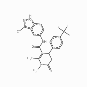 CC1=C(C(=O)Nc2ccc3[nH]nc(Cl)c3c2)C(c2ccc(C(F)(F)F)cc2)CC(=O)N1C